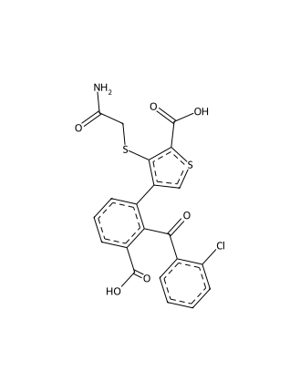 NC(=O)CSc1c(-c2cccc(C(=O)O)c2C(=O)c2ccccc2Cl)csc1C(=O)O